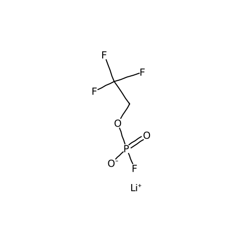 O=P([O-])(F)OCC(F)(F)F.[Li+]